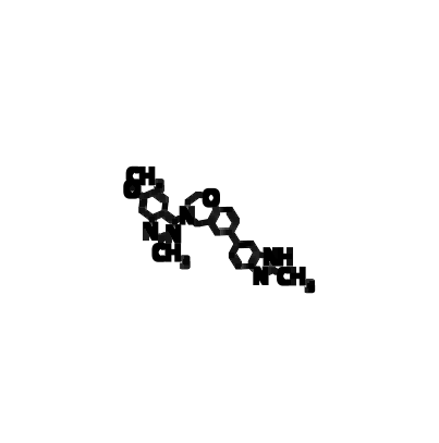 COc1ccc2c(N3CCOc4ccc(-c5ccc6nc(C)[nH]c6c5)cc4C3)nc(C)nc2c1